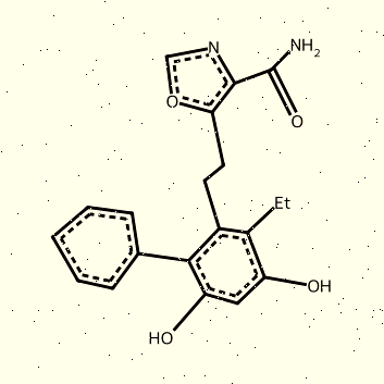 CCc1c(O)cc(O)c(-c2ccccc2)c1CCc1ocnc1C(N)=O